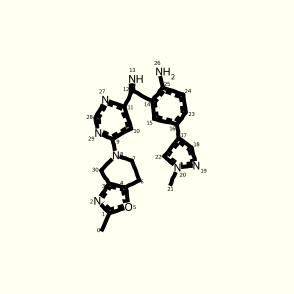 Cc1nc2c(o1)CCN(c1cc(C(=N)c3cc(-c4cnn(C)c4)ccc3N)ncn1)C2